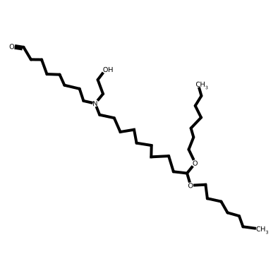 CCCCCCCOC(CCCCCCCCCN(CCO)CCCCCCCC=O)OCCCCCCC